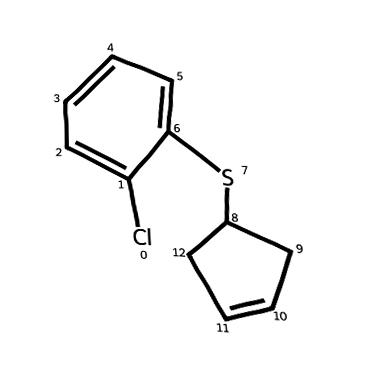 Clc1ccccc1SC1CC=CC1